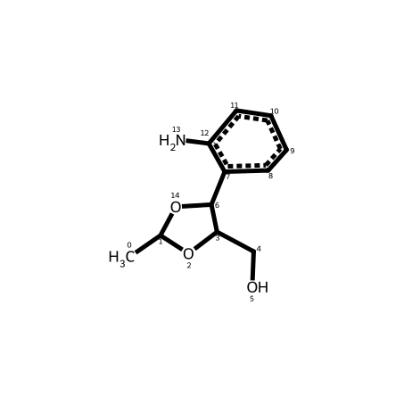 CC1OC(CO)C(c2ccccc2N)O1